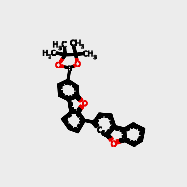 CC1(C)OB(c2ccc3c(c2)oc2c(-c4ccc5c(c4)oc4ccccc45)cccc23)OC1(C)C